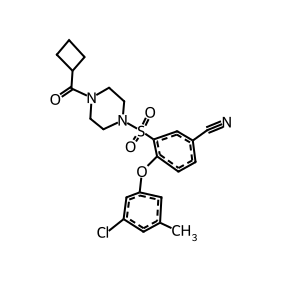 Cc1cc(Cl)cc(Oc2ccc(C#N)cc2S(=O)(=O)N2CCN(C(=O)C3CCC3)CC2)c1